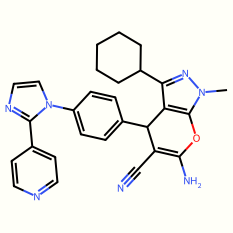 Cn1nc(C2CCCCC2)c2c1OC(N)=C(C#N)C2c1ccc(-n2ccnc2-c2ccncc2)cc1